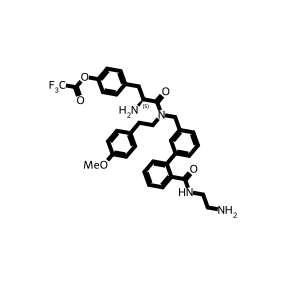 COc1ccc(CCN(Cc2cccc(-c3ccccc3C(=O)NCCN)c2)C(=O)[C@@H](N)Cc2ccc(OC(=O)C(F)(F)F)cc2)cc1